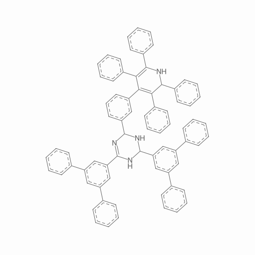 c1ccc(C2=C(c3ccccc3)C(c3cccc(C4N=C(c5cc(-c6ccccc6)cc(-c6ccccc6)c5)NC(c5cc(-c6ccccc6)cc(-c6ccccc6)c5)N4)c3)=C(c3ccccc3)C(c3ccccc3)N2)cc1